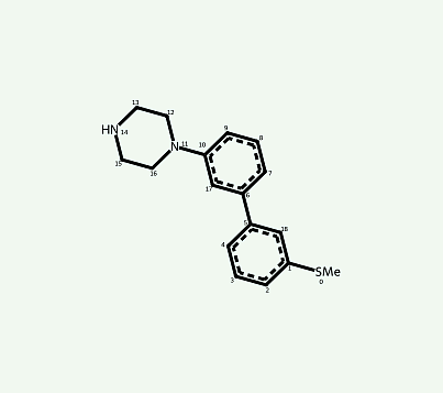 CSc1cccc(-c2cccc(N3CCNCC3)c2)c1